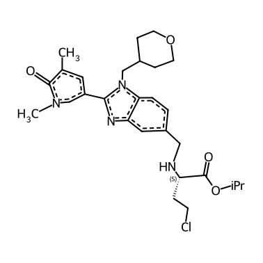 Cc1cc(-c2nc3cc(CN[C@@H](CCCl)C(=O)OC(C)C)ccc3n2CC2CCOCC2)cn(C)c1=O